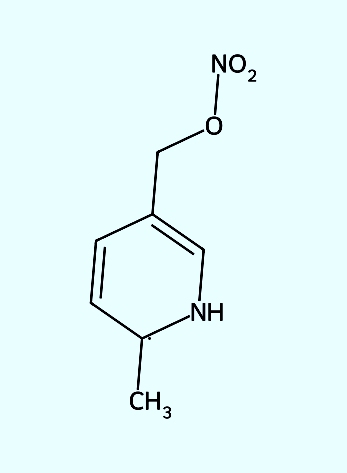 C[C]1C=CC(CO[N+](=O)[O-])=CN1